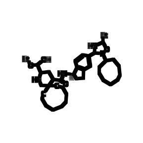 CCOC(O)C1CC(C(=O)N[C@@H]2CCc3cc(C4NC(CC)ON4C4CCCCCCCC4)ccc32)C2(CCCCCCCCC2)CN1